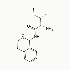 CC[C@H](C)[C@H](N)C(=O)NC1NCCc2ccccc21